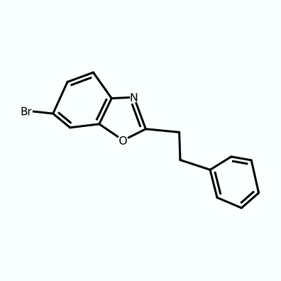 Brc1ccc2nc(CCc3ccccc3)oc2c1